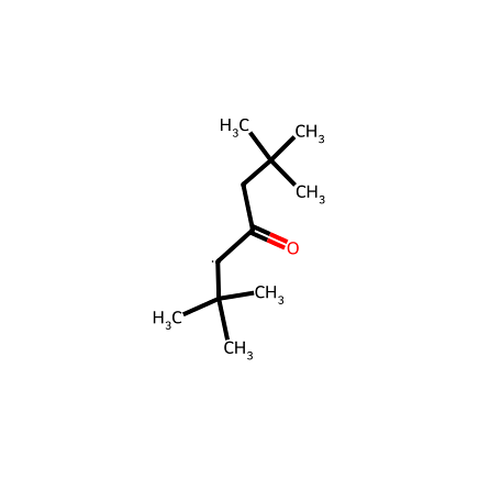 CC(C)(C)[CH]C(=O)CC(C)(C)C